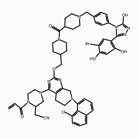 C=CC(=O)N1CCN(c2nc(OCC3CCN(C(=O)C4CCN(Cc5ccc(-n6c(O)nnc6-c6cc(C(C)C)c(O)cc6O)cc5)CC4)CC3)nc3c2CCN(c2cccc4cccc(Cl)c24)C3)CC1CC#N